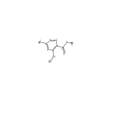 CCOc1cc(Br)ccc1C(=O)CBr